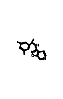 Cc1cc(C)cc(C(C)Nc2noc3cnccc23)c1